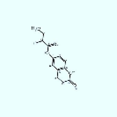 CCC(I)C(=O)Oc1ccc2c(c1)CCC(=O)O2